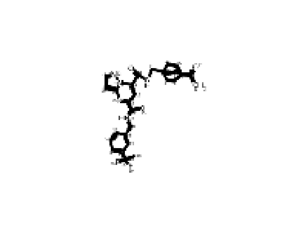 CC(=O)C12CCC(CNC(=O)c3cc(C(=O)NCc4cccc(C(F)(F)F)c4)nc4ccnn34)(CC1)CC2